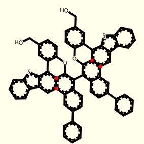 OCc1ccc(Oc2ccc3cc(-c4ccccc4)ccc3c2-c2c(Oc3ccc(CO)cc3-c3cccc4c3sc3ccccc34)ccc3cc(-c4ccccc4)ccc23)c(-c2cccc3c2sc2ccccc23)c1